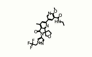 CCNC(=O)c1cc(-c2cc(C)c3c(n2)C2(CCOC2)N(c2cnn(CC(F)(F)F)c2)C3=O)cnc1OC